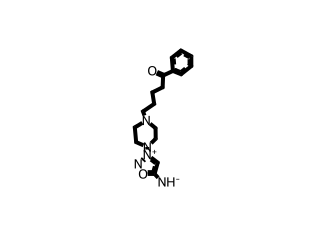 [NH-]c1c[n+](N2CCN(CCCCC(=O)c3ccccc3)CC2)no1